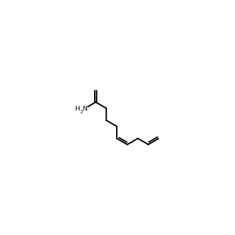 C=CC/C=C\CCCC(=C)N